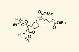 COC(=O)[C@H](Cc1ccc(OC(=O)OC(C)C(C)C)c(OC(=O)OC(C)C(C)C)c1)NCCOC(=O)OCC(C)C